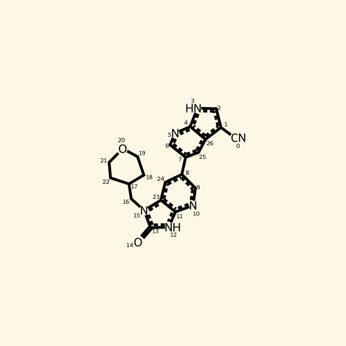 N#Cc1c[nH]c2ncc(-c3cnc4[nH]c(=O)n(CC5CCOCC5)c4c3)cc12